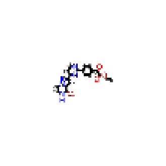 CCOC(=O)C(=O)c1ccc(-c2nccc(-c3cc4n(n3)CCNC4=O)n2)cc1